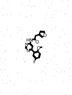 COc1ccc(F)cc1-c1cc(NC(=O)Cc2ccoc2)ncn1